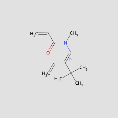 C=CC(=O)N(C)/C=C(\C=C)C(C)(C)C